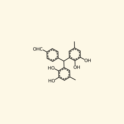 Cc1cc(O)c(O)c(C(c2ccc(C=O)cc2)c2cc(C)cc(O)c2O)c1